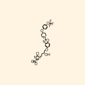 O=[N+]([O-])c1cn(CCC(O)COc2ccc3oc(N4CCC(Oc5ccc(OC(F)(F)F)cc5)CC4)nc3c2)c(Cl)n1